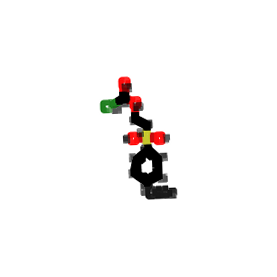 COc1ccc(S(=O)(=O)CCOC(=O)Cl)cc1